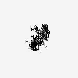 N=C(N)NC(NC(=O)C(NC(=N)N)NC(=O)C(NC(=N)N)NC(=O)C(NC(=N)N)NC(=O)C(NC(=O)C(O)N(C/C=C\c1ccc(NOO)cc1)c1ccc([N+](=O)[O-])c2nonc12)c1ccccc1)C(N)=O